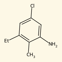 CCc1cc(Cl)cc(N)c1C